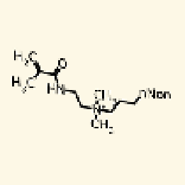 C=C(C)C(=O)NCC[N+](C)(C)CCCCCCCCCCCC